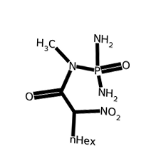 CCCCCCC(C(=O)N(C)P(N)(N)=O)[N+](=O)[O-]